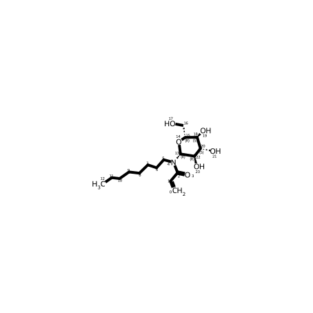 C=CC(=O)N(CCCCCCCC)[C@@H]1O[C@H](CO)[C@@H](O)[C@H](O)[C@H]1O